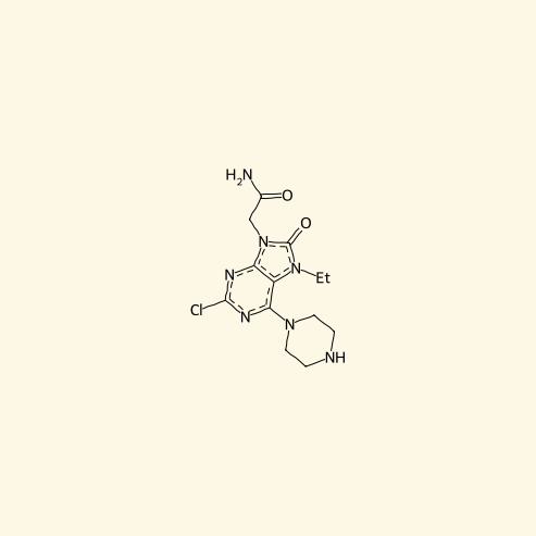 CCn1c(=O)n(CC(N)=O)c2nc(Cl)nc(N3CCNCC3)c21